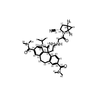 CC(C)NC(=N)C1(CCNCC(=O)N2[C@H](C#N)C[C@@H]3C[C@@H]32)c2ccc(C(=O)N(C)C)cc2CCc2cc(C(=O)N(C)C)ccc21